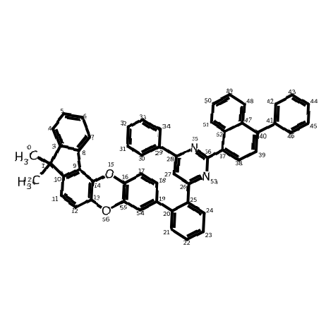 CC1(C)c2ccccc2-c2c1ccc1c2Oc2ccc(-c3ccccc3-c3cc(-c4ccccc4)nc(-c4ccc(-c5ccccc5)c5ccccc45)n3)cc2O1